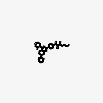 CC1COCCN1c1nc(-c2ccc(NC(=O)NCCCF)cc2)nc2c1CCN(c1ncccn1)C2